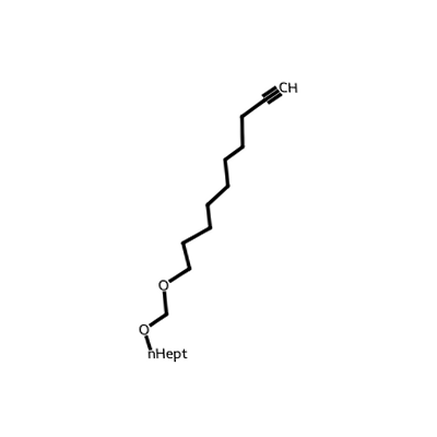 C#CCCCCCCCCOCOCCCCCCC